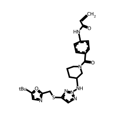 C=CC(=O)Nc1ccc(C(=O)N2CCCC(Nn3ncc(SCc4ncc(C(C)(C)C)o4)n3)C2)cc1